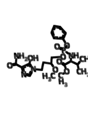 COC(=O)C(NP(=O)(OCC(CCn1cnc(C(N)=O)c1O)OC)Oc1ccccc1)C(C)C